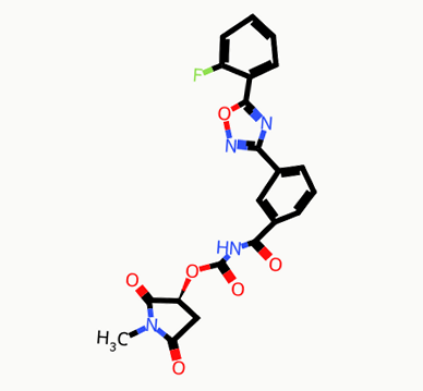 CN1C(=O)C[C@H](OC(=O)NC(=O)c2cccc(-c3noc(-c4ccccc4F)n3)c2)C1=O